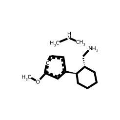 CNC.COc1cccc([C@@H]2CCCC[C@H]2CN)c1